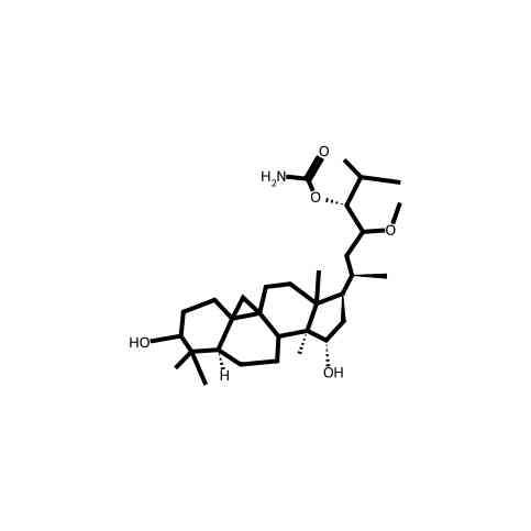 COC(C[C@@H](C)[C@H]1C[C@H](O)[C@@]2(C)C3CC[C@H]4C(C)(C)C(O)CCC45CC35CCC12C)[C@H](OC(N)=O)C(C)C